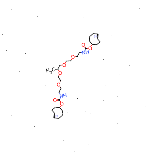 CC(COCCOCCNC(=O)OC1CC/C=C/CCC1)OCCOCCNC(=O)OC1CC/C=C/CCC1